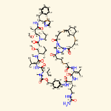 CC[C@H](C)[C@@H]([C@@H](CC(=O)N1CCC[C@H]1[C@H](OC)[C@@H](C)C(=O)N[C@@H](Cc1ccccc1)c1nccs1)OC)N(C)C(=O)[C@@H](NC(=O)[C@H](C(C)C)N(C)C(=O)OCc1ccc(NC(=O)[C@H](CCCNC(N)=O)NC(=O)[C@@H](NC(=O)CSCCC(=O)N2CN3CN(C2)C(=O)CCS[C@@H]2CCCC(C2)SCCC3=O)C(C)C)cc1)C(C)C